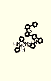 N=C(NC(NCc1cccc(-n2c3ccccc3c3ccc(-c4cccc5c4sc4c(-c6ccccc6)cccc45)cc32)c1)c1ccccc1)c1ccccc1